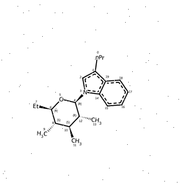 CCCc1cn([C@@H]2O[C@H](CC)[C@@H](C)[C@H](C)[C@H]2C)c2ccccc12